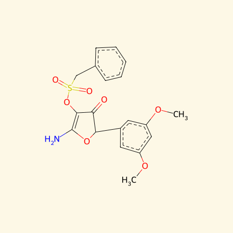 COc1cc(OC)cc(C2OC(N)=C(OS(=O)(=O)Cc3ccccc3)C2=O)c1